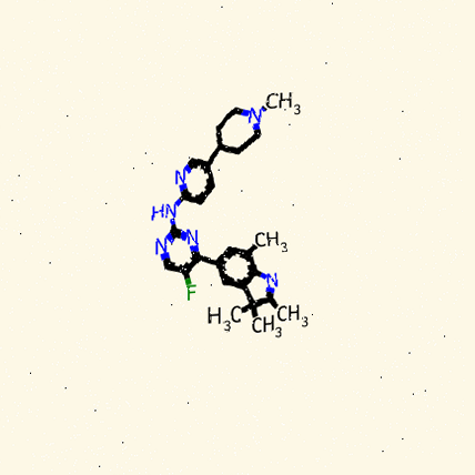 CC1=Nc2c(C)cc(-c3nc(Nc4ccc(C5CCN(C)CC5)cn4)ncc3F)cc2C1(C)C